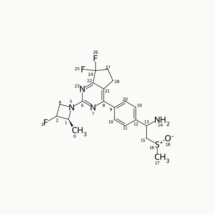 C[C@H]1C(F)CN1c1nc(-c2ccc(C(N)C[S+](C)[O-])cc2)c2c(n1)C(F)(F)CC2